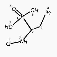 CC(C)C[C@H](NCl)P(=O)(O)O